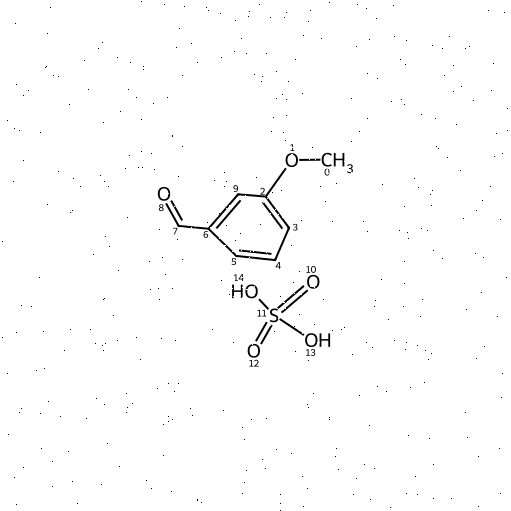 COc1cccc(C=O)c1.O=S(=O)(O)O